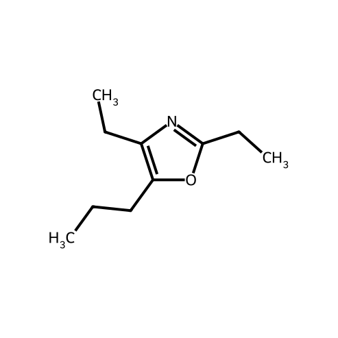 CCCc1oc(CC)nc1CC